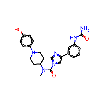 CN(C(=O)n1cnc(-c2cccc(NC(N)=O)c2)c1)C1CCN(c2ccc(O)cc2)CC1